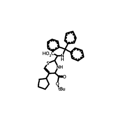 CC(C)(C)OC(=O)C1NC(C(NC(c2ccccc2)(c2ccccc2)c2ccccc2)C(=O)O)SC=C1C1CCCC1